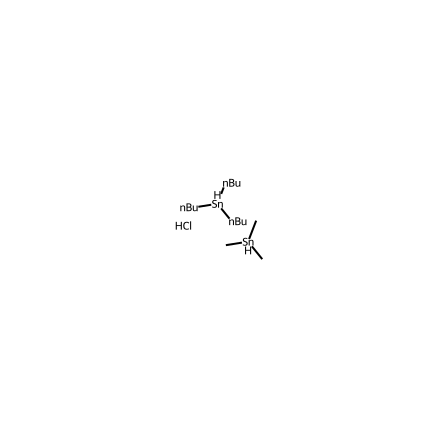 CCC[CH2][SnH]([CH2]CCC)[CH2]CCC.Cl.[CH3][SnH]([CH3])[CH3]